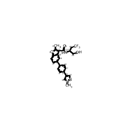 Cc1oc2ccc(-c3ccc(-c4cnn(C)c4)cc3)cc2c1C(=O)NC(CO)CC(F)(F)F